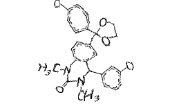 CN1C(=O)N(C)C(c2cccc(Cl)c2)c2cc(C3(c4ccc(Cl)cc4)OCCO3)ccc21